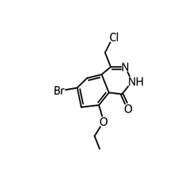 CCOc1cc(Br)cc2c(CCl)n[nH]c(=O)c12